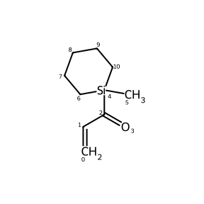 C=CC(=O)[Si]1(C)CCCCC1